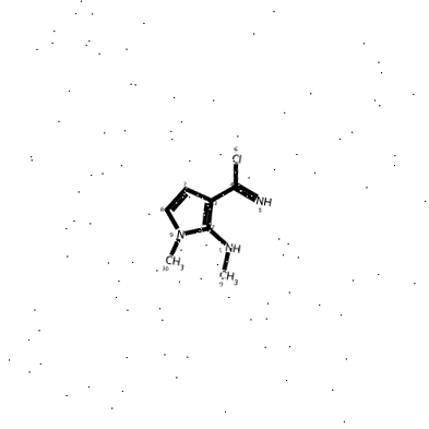 CNc1c(C(=N)Cl)ccn1C